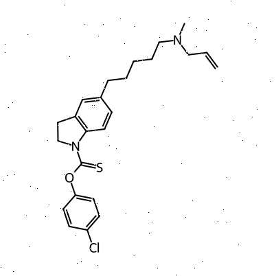 C=CCN(C)CCCCCc1ccc2c(c1)CCN2C(=S)Oc1ccc(Cl)cc1